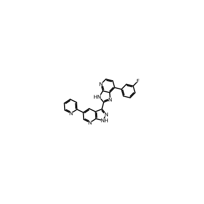 Fc1cccc(-c2ccnc3[nH]c(-c4n[nH]c5ncc(-c6ccccn6)cc45)nc23)c1